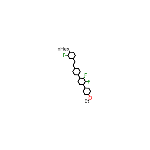 CCCCCCC1CCC(CCC2CCC(C3CCC(C4CCC(OCC)CC4)C(F)C3F)CC2)CC1F